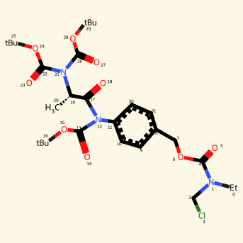 CCN(CCl)C(=O)OCc1ccc(N(C(=O)OC(C)(C)C)C(=O)[C@H](C)N(C(=O)OC(C)(C)C)C(=O)OC(C)(C)C)cc1